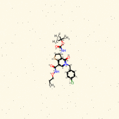 CCCONC(=O)c1cn(Cc2ccc(Cl)cc2)c(=O)c2c1SC[C@@H]2NC(=O)OC(C)(C)C